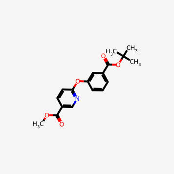 COC(=O)c1ccc(Oc2cccc(C(=O)OC(C)(C)C)c2)nc1